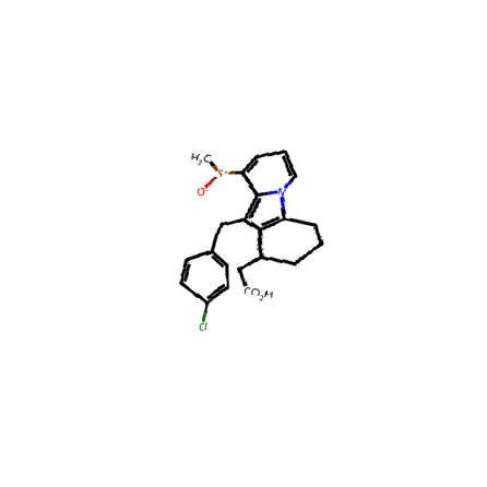 C[S+]([O-])c1cccn2c3c(c(Cc4ccc(Cl)cc4)c12)C(CC(=O)O)CCC3